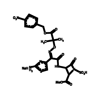 COC(=O)C1C(NC(=O)/C(=N\OC(C)(C)C(=O)OCc2ccc([N+](=O)[O-])cc2)c2csc(N)n2)C(=O)N1S(=O)(=O)O.[NaH]